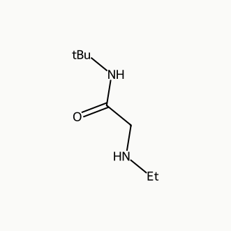 CCNCC(=O)NC(C)(C)C